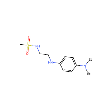 CCN(CC)c1ccc(NCCNS(C)(=O)=O)cc1